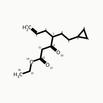 C=CCC(CCC1CC1)C(=O)CC(=O)OCC